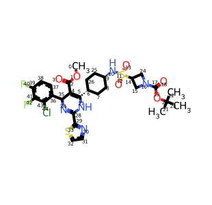 COC(=O)C1=C([C@H]2CC[C@H](NS(=O)(=O)C3CN(C(=O)OC(C)(C)C)C3)CC2)NC(c2nccs2)=NC1c1ccc(F)c(F)c1Cl